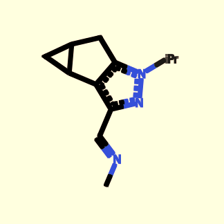 C/N=C/c1nn(C(C)C)c2c1C1CC1C2